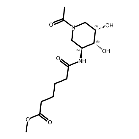 COC(=O)CCCCC(=O)N[C@H]1CN(C(C)=O)C[C@H](O)[C@@H]1O